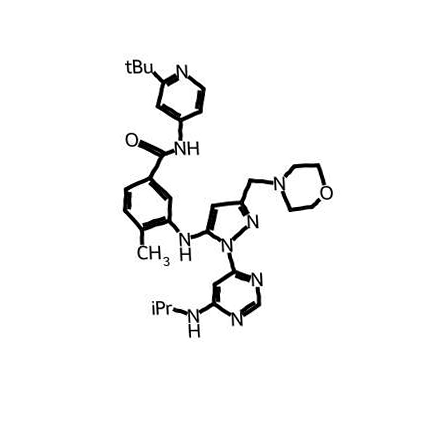 Cc1ccc(C(=O)Nc2ccnc(C(C)(C)C)c2)cc1Nc1cc(CN2CCOCC2)nn1-c1cc(NC(C)C)ncn1